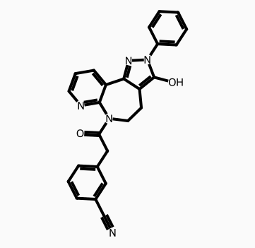 N#Cc1cccc(CC(=O)N2CCc3c(nn(-c4ccccc4)c3O)-c3cccnc32)c1